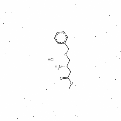 COC(=O)C[C@H](N)COCc1ccccc1.Cl